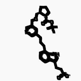 CC(C)(C)OC(=O)N1CCC[C@H]1COCc1cncc(CCCc2cccc3c(CC[N+](=O)[O-])c[nH]c23)c1